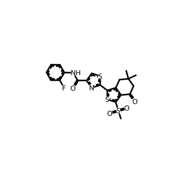 CC1(C)CC(=O)c2c(S(C)(=O)=O)sc(-c3nc(C(=O)Nc4ccccc4F)cs3)c2C1